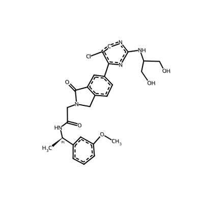 COc1cccc([C@@H](C)NC(=O)CN2Cc3ccc(-c4nc(NC(CO)CO)ncc4Cl)cc3C2=O)c1